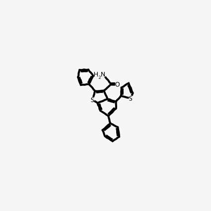 NC(=O)c1c(-c2ccccc2)sc2cc(-c3ccccc3)cc(-c3cccs3)c12